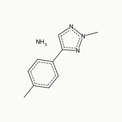 Cc1ccc(-c2cnn(C)n2)cc1.N